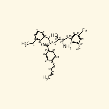 CCc1cccc(CN(C[C@@H](O)[C@@H](N)Cc2cc(F)cc(F)c2)C(=O)c2ccc(SCOC)cc2)c1